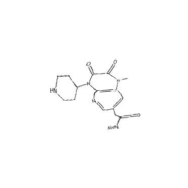 CNC(=O)c1cnc2c(c1)n(C)c(=O)c(=O)n2C1CCNCC1